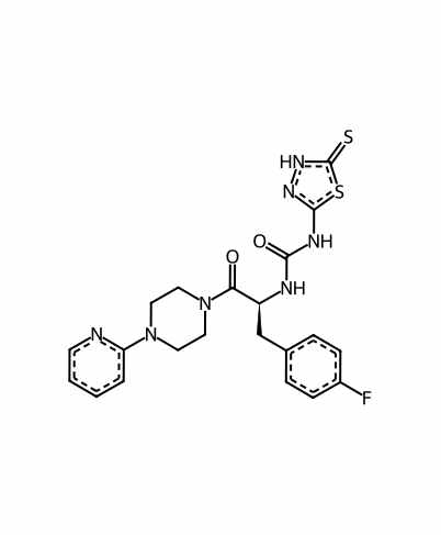 O=C(Nc1n[nH]c(=S)s1)N[C@@H](Cc1ccc(F)cc1)C(=O)N1CCN(c2ccccn2)CC1